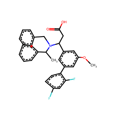 COc1cc(-c2ccc(F)cc2F)cc(C(CC(=O)O)N(Cc2ccccc2)C(C)c2ccccc2)c1